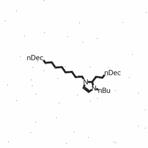 CCCCCCCCCCCCCCCCCCN1C=CN(CCCC)C1CCCCCCCCCCCC